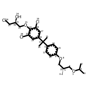 CC(C)OC[C@H](C)COc1ccc(C(C)(C)c2cc(Cl)c(OC[C@H](O)CCl)c(Cl)c2)cc1